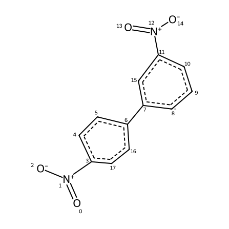 O=[N+]([O-])c1ccc(-c2[c]ccc([N+](=O)[O-])c2)cc1